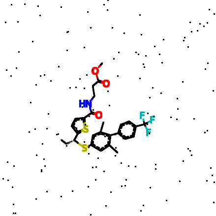 CC[C@@H](Sc1cc(C)c(-c2ccc(C(F)(F)F)cc2)c(C)c1)c1ccc(C(=O)NCCC(=O)OC)s1